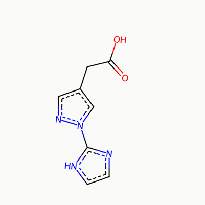 O=C(O)Cc1cnn(-c2ncc[nH]2)c1